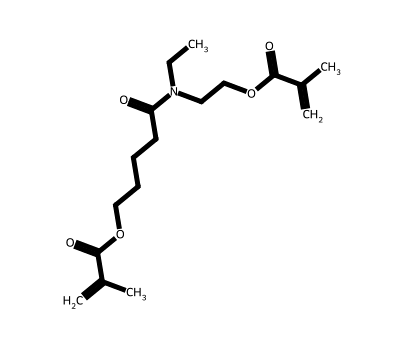 C=C(C)C(=O)OCCCCC(=O)N(CC)CCOC(=O)C(=C)C